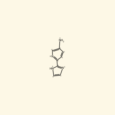 Nc1ccc(-c2ncc[nH]2)nc1